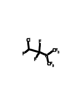 FC(Cl)C(F)(F)N(C(F)(F)F)C(F)(F)F